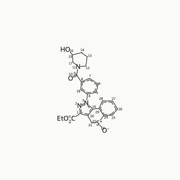 CCOC(=O)c1nn(-c2cccc(C(=O)N3CCCC(O)C3)c2)c2c1C[S+]([O-])c1ccccc1-2